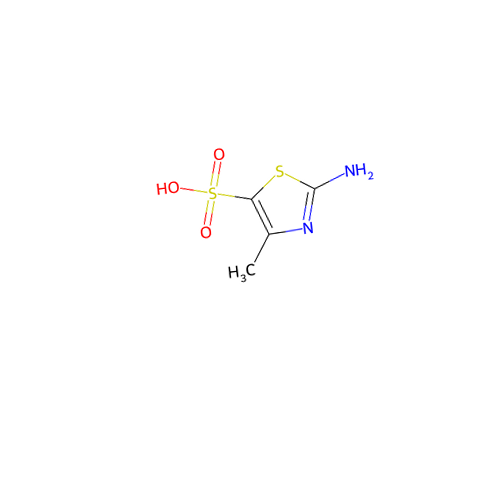 Cc1nc(N)sc1S(=O)(=O)O